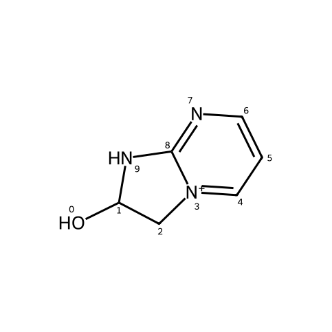 OC1C[n+]2cccnc2N1